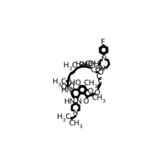 C/C1=C/C=C/C(C)[C@H](O)[C@@H](C)C(O)C[C@H](ON2CCCN(c3ccc(F)cc3)CC2)CC/C=C/OC2(C)Oc3c(C)c(O)c4c(c3C2=O)C2=NC3(CCN(CC(C)C)CC3)NC2=C(NC1=O)C4=O